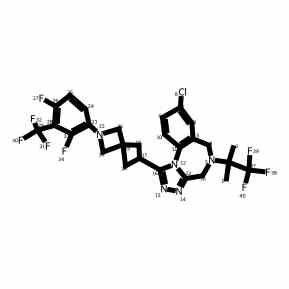 CC(C)(N1Cc2cc(Cl)ccc2-n2c(nnc2C2CC3(C2)CN(c2ccc(F)c(C(F)(F)F)c2F)C3)C1)C(F)(F)F